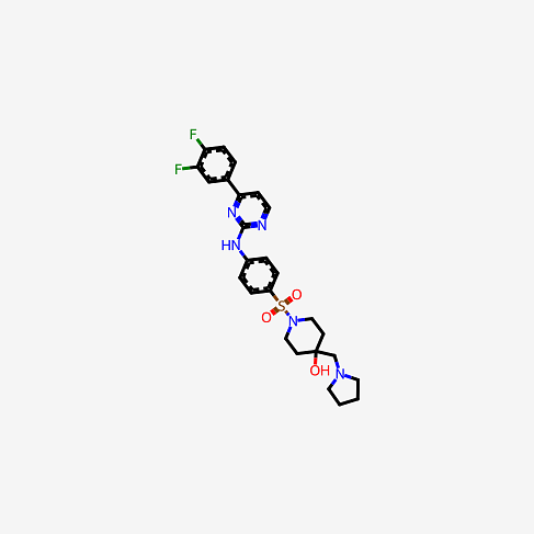 O=S(=O)(c1ccc(Nc2nccc(-c3ccc(F)c(F)c3)n2)cc1)N1CCC(O)(CN2CCCC2)CC1